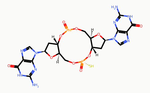 Nc1nc2c(ncn2[C@H]2C[C@@H]3O[PH](=O)OC[C@H]4O[C@@H](n5cnc6c(=O)[nH]c(N)nc65)C[C@@H]4O[P@](=O)(S)OC[C@H]3O2)c(=O)[nH]1